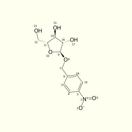 O=[N+]([O-])c1ccc(CO[C@H]2O[C@H](CO)[C@@H](O)[C@@H]2O)cc1